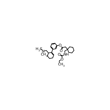 CCOC(=O)NCC1(CC(=O)Oc2cccc(C3=CCCCC3CN(C)C)c2)CCCCC1